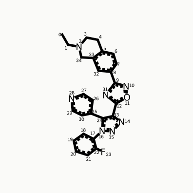 CCN1CCc2ccc(-c3noc(-c4nnn(-c5ccccc5F)c4-c4ccncc4)n3)cc2C1